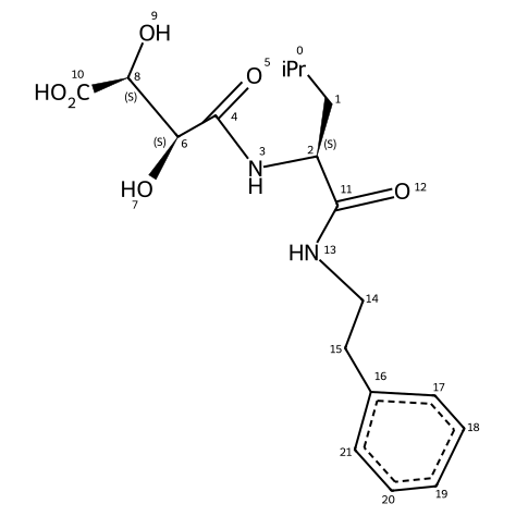 CC(C)C[C@H](NC(=O)[C@@H](O)[C@H](O)C(=O)O)C(=O)NCCc1ccccc1